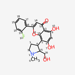 CN1CCC(c2c(O)cc(O)c3c(=O)cc(-c4ccccc4F)oc23)C1CO